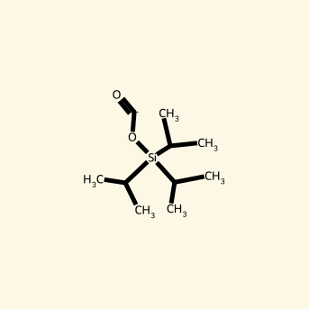 CC(C)[Si](O[C]=O)(C(C)C)C(C)C